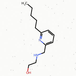 CCCCCc1cccc(CNCCO)n1